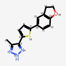 Cc1n[nH]nc1-c1ccc(-c2ccc3c(c2)CCO3)s1